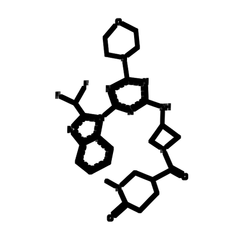 CN1CC(C(=O)N2CC(Nc3nc(N4CCOCC4)nc(-n4c(C(F)F)nc5ccccc54)n3)C2)CCC1=O